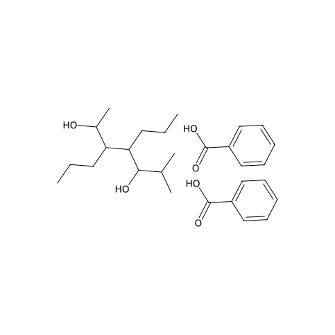 CCCC(C(C)O)C(CCC)C(O)C(C)C.O=C(O)c1ccccc1.O=C(O)c1ccccc1